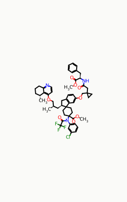 COC(=O)[C@@H](Cc1ccccc1)NC(=O)CC1(COc2ccc3c(c2)C2(CCC(C(=O)OC)(N(C(=O)C(F)(F)F)c4cccc(Cl)c4)CC2)[C@@H](C[C@@H](C)COc2ccnc4c2[C@H](C)CCC4)C3)CC1